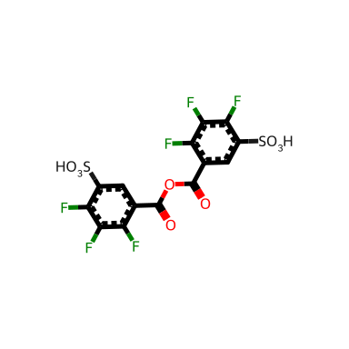 O=C(OC(=O)c1cc(S(=O)(=O)O)c(F)c(F)c1F)c1cc(S(=O)(=O)O)c(F)c(F)c1F